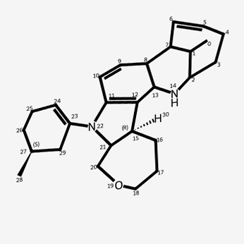 CC1C2CCC=CC1C1C=CC3=C(C1N2)[C@H]1CCCOCC1N3C1=CCC[C@H](C)C1